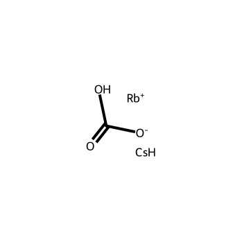 O=C([O-])O.[CsH].[Rb+]